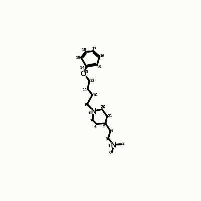 CN(C)CCC1CCN(CCCCOc2ccccc2)CC1